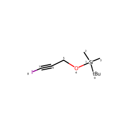 CC(C)(C)[Si](C)(C)OCC#CI